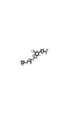 CC(=O)c1ccc(-c2cc(Cl)c3c(c2)CC(CNC(=O)/C=C/c2cscn2)O3)s1